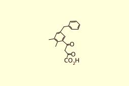 Cc1cc(Cc2ccccc2)cc(C(=O)CC(=O)C(=O)O)c1C